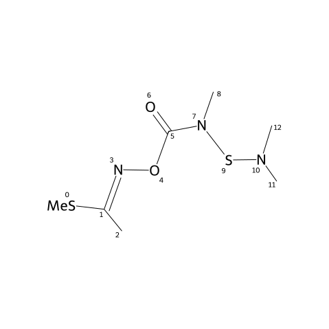 CSC(C)=NOC(=O)N(C)SN(C)C